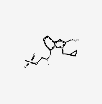 CCOC(=O)c1cc2cccc(O[C@H](C)COS(C)(=O)=O)c2n1CC1CC1